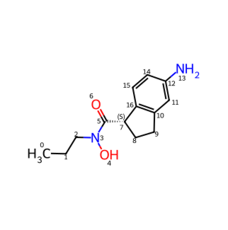 CCCN(O)C(=O)[C@H]1CCc2cc(N)ccc21